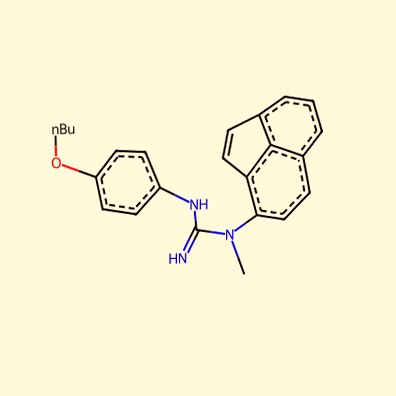 CCCCOc1ccc(NC(=N)N(C)c2ccc3cccc4c3c2C=C4)cc1